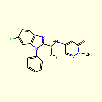 C[C@H](Nc1cnn(C)c(=O)c1)c1nc2ccc(F)cc2n1-c1ccccc1